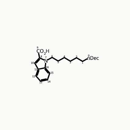 CCCCCCCCCCCCCCCCn1c(C(=O)O)cc2ccccc21